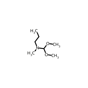 CCCN(C)C(OC)OC